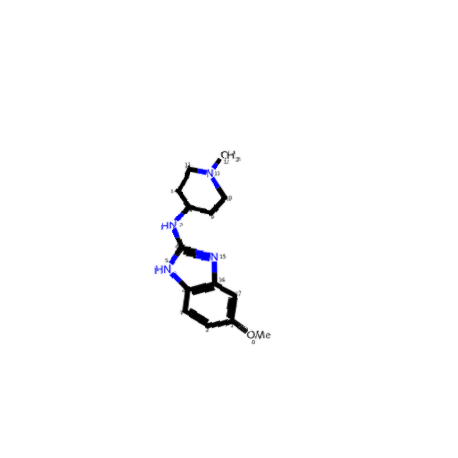 COc1ccc2[nH]c(NC3CCN(C)CC3)nc2c1